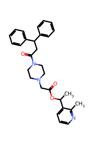 Cc1ncccc1C(C)OC(=O)CN1CCN(C(=O)CC(c2ccccc2)c2ccccc2)CC1